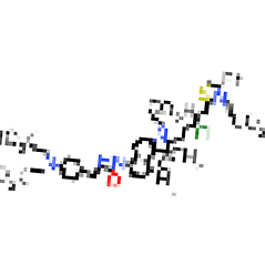 CCC1CS\C(=C/C=C(Cl)/C=C/C2N(CCC(=O)O)c3ccc4c(NC(=O)/C=C/c5ccc(N(CCC(=O)O)CCC(=O)O)cc5)cccc4c3C2(C)C)N1CCC(=O)O